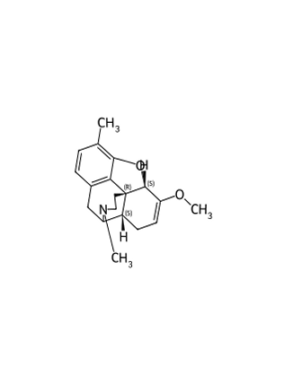 COC1=CC[C@@H]2C3Cc4ccc(C)c5c4[C@]2(CCN3C)[C@@H]1O5